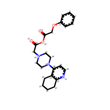 O=C(COc1ccccc1)OC(=O)CN1CCN(c2ccnc3c2CCCC3)CC1